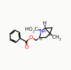 C[C@@]12C[C@@H](COC(=O)c3ccccc3)N(C(=O)O)[C@@H]1C2